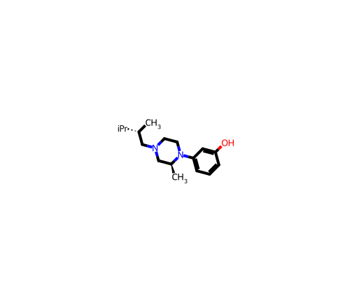 CC(C)[C@H](C)CN1CCN(c2cccc(O)c2)[C@@H](C)C1